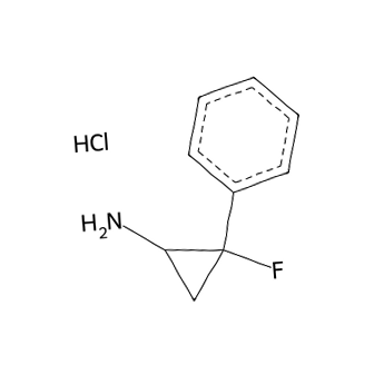 Cl.NC1CC1(F)c1ccccc1